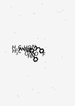 CN(C)CCNC(=O)c1nc(C(=O)Nc2ccccc2)c2cc(Cc3ccc(F)cc3)cnc2c1O